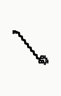 CC(C)CCCCCCCCCCCCCCC(C)C(=O)O